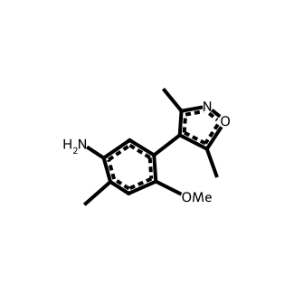 COc1cc(C)c(N)cc1-c1c(C)noc1C